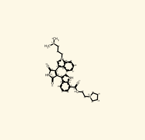 CN(C)CCCn1cc(C2=C(c3c[nH]c4c(C(=O)OCCN5CCCC5)cccc34)C(=O)NC2=O)c2ccccc21